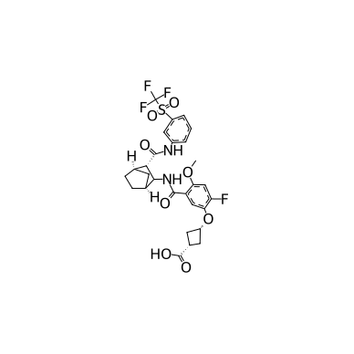 COc1cc(F)c(O[C@H]2C[C@@H](C(=O)O)C2)cc1C(=O)NC1[C@H]2CC[C@H](C2)[C@@H]1C(=O)Nc1cccc(S(=O)(=O)C(F)(F)F)c1